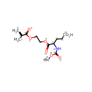 C=C(C)C(=O)OCCOC(=O)C(CCC(=O)O)NC(=O)OC(C)(C)C